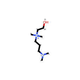 CN(C)CCC[N+](C)(C)CCO